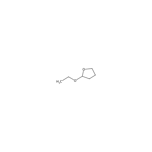 CCOC1CCCO1